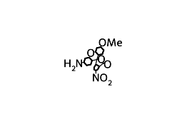 COc1ccc2c(c1)Oc1cc(N)ccc1C21OC(=O)c2cc([N+](=O)[O-])ccc21